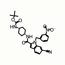 CC(C)(C)OC(=O)N[C@H]1CC[C@H](NC(=O)c2cc3ccc(C#N)cc3n2Cc2cccc([N+](=O)[O-])c2)CC1